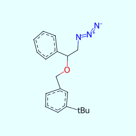 CC(C)(C)c1cccc(COC(CN=[N+]=[N-])c2ccccc2)c1